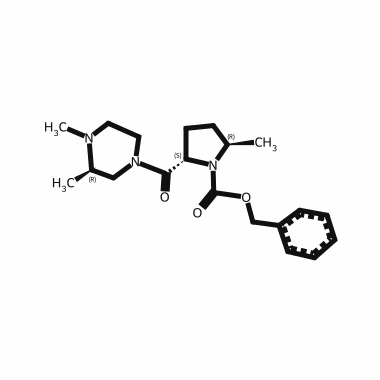 C[C@@H]1CN(C(=O)[C@@H]2CC[C@@H](C)N2C(=O)OCc2ccccc2)CCN1C